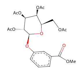 COC(=O)c1cccc(O[C@@H]2O[C@H](COC(C)=O)[C@H](OC(C)=O)[C@H](OC(C)=O)[C@H]2OC(C)=O)c1